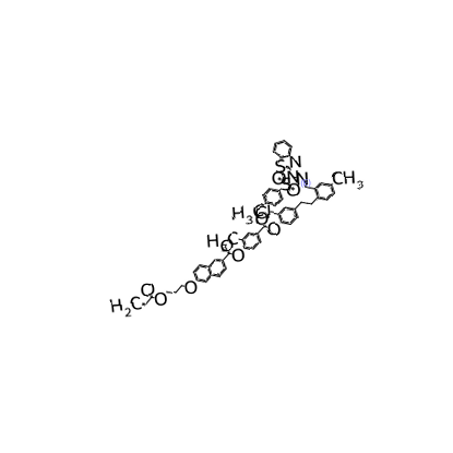 C=CC(=O)OCCCOc1ccc2cc(C(=O)Oc3ccc(C(=O)Oc4ccc(CCc5ccc(C)cc5/C=N/N(c5nc6ccccc6s5)S(=O)(=O)c5ccc(C)cc5)cc4Cl)cc3C)ccc2c1